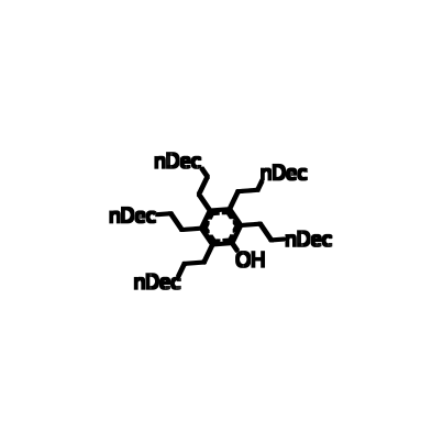 CCCCCCCCCCCCc1c(O)c(CCCCCCCCCCCC)c(CCCCCCCCCCCC)c(CCCCCCCCCCCC)c1CCCCCCCCCCCC